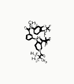 CN(C(=O)c1cccc(-n2nc(C(F)(F)F)c3c2CCN(C(=O)C(C)(C)C)C3)c1)c1ccc2c(c1)OC(F)(F)O2